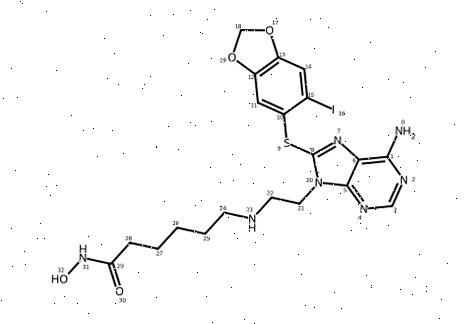 Nc1ncnc2c1nc(Sc1cc3c(cc1I)OCO3)n2CCNCCCCCC(=O)NO